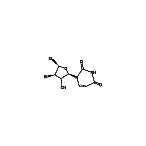 CC[C@@H]1C(O)[C@H](n2ccc(=O)[nH]c2=O)O[C@@H]1CC